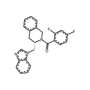 O=C(c1ccc(F)cc1F)N1Cc2ccccc2C[C@H]1Cn1cnc2ccccc21